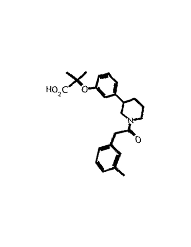 Cc1cccc(CC(=O)N2CCCC(c3cccc(OC(C)(C)C(=O)O)c3)C2)c1